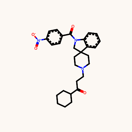 O=C(CCN1CCC2(CC1)CN(C(=O)c1ccc([N+](=O)[O-])cc1)c1ccccc12)C1CCCCC1